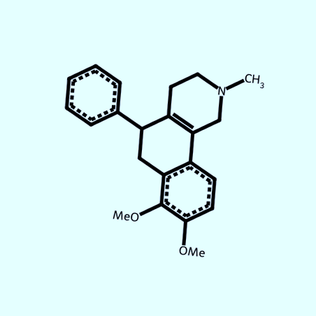 COc1ccc2c(c1OC)CC(c1ccccc1)C1=C2CN(C)CC1